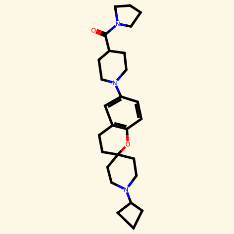 O=C(C1CCN(c2ccc3c(c2)CCC2(CCN(C4CCC4)CC2)O3)CC1)N1CCCC1